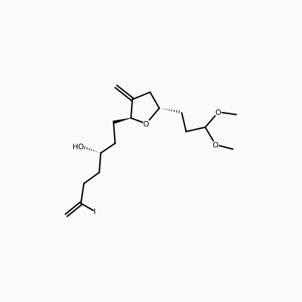 C=C(I)CC[C@H](O)CC[C@@H]1O[C@@H](CCC(OC)OC)CC1=C